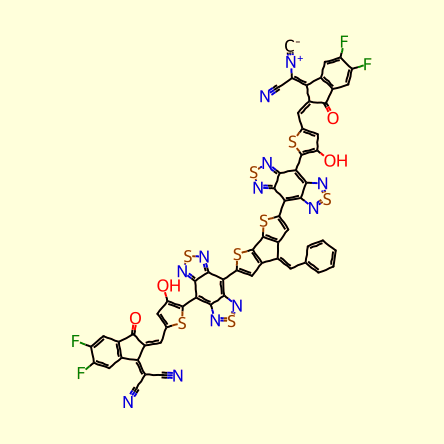 [C-]#[N+]/C(C#N)=C1/C(=C/c2cc(O)c(-c3c4c(c(-c5cc6c(s5)-c5sc(-c7c8c(c(-c9sc(/C=C%10\C(=O)c%11cc(F)c(F)cc%11C%10=C(C#N)C#N)cc9O)c9nsnc79)N=S=N8)cc5/C6=C/c5ccccc5)c5nsnc35)N=S=N4)s2)C(=O)c2cc(F)c(F)cc21